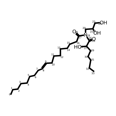 CCCCCCCCC=CCCCCCCCC(=O)N(CC(O)CO)C(=O)C(O)CCCCC